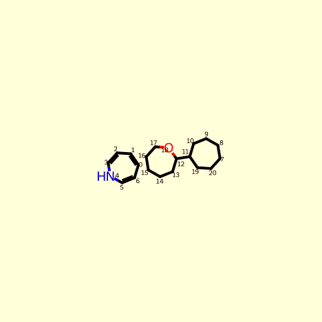 C1=CC=CNC=C1.C1CCCC(C2CCCCCO2)CC1